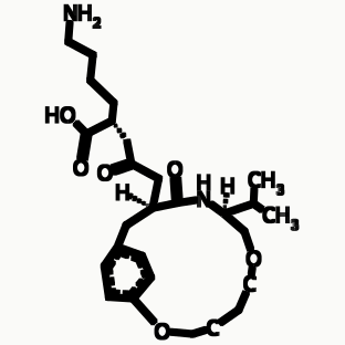 CC(C)[C@H]1COCCCCOc2ccc(cc2)C[C@@H](CC(=O)C[C@@H](CCCCN)C(=O)O)C(=O)N1